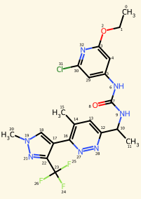 CCOc1cc(NC(=O)NC(C)c2cc(C)c(-c3cn(C)nc3C(F)(F)F)nn2)cc(Cl)n1